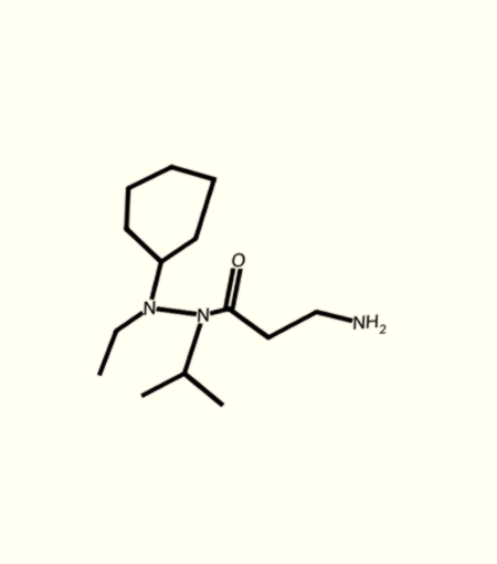 CCN(C1CCCCC1)N(C(=O)CCN)C(C)C